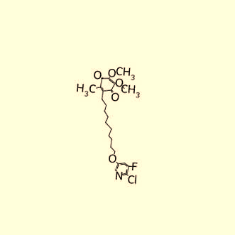 COC1=C(OC)C(=O)C(CCCCCCCCCCOc2cnc(Cl)c(F)c2)=C(C)C1=O